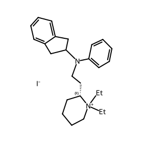 CC[N+]1(CC)CCCC[C@@H]1CCN(c1ccccc1)C1Cc2ccccc2C1.[I-]